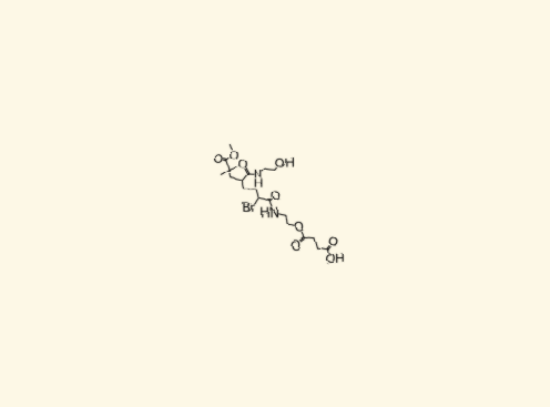 COC(=O)C(C)(C)CC(CCC(Br)C(=O)NCCOC(=O)CCC(=O)O)C(=O)NCCO